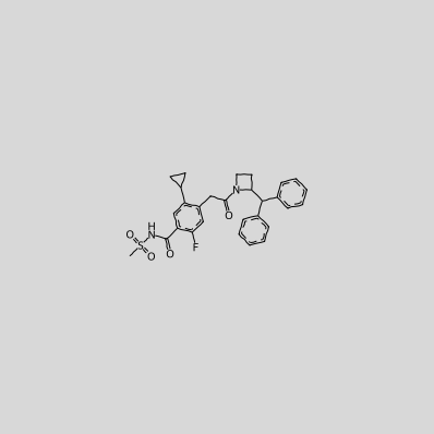 CS(=O)(=O)NC(=O)c1cc(C2CC2)c(CC(=O)N2CCC2C(c2ccccc2)c2ccccc2)cc1F